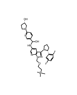 C[Si](C)(C)CCOCn1nc(N2CCC[C@@H]2c2cc(F)ccc2F)c2cc(NC(O)c3ccc(N4CC[C@H](O)C4)nc3)cnc21